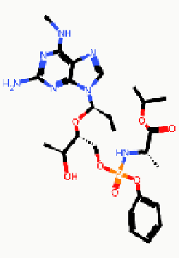 CC[C@@H](O[C@H](COP(=O)(N[C@@H](C)C(=O)OC(C)C)Oc1ccccc1)[C@H](C)O)n1cnc2c(NC)nc(N)nc21